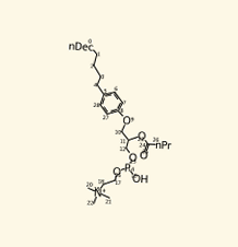 CCCCCCCCCCCCCCc1ccc(OCC(COP(O)OCC[N+](C)(C)C)OC(=O)CCC)cc1